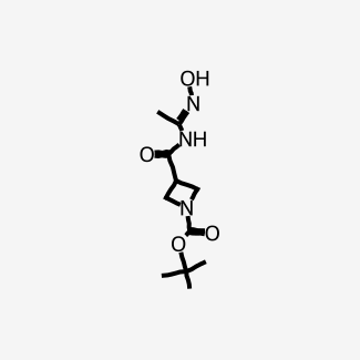 C/C(=N\O)NC(=O)C1CN(C(=O)OC(C)(C)C)C1